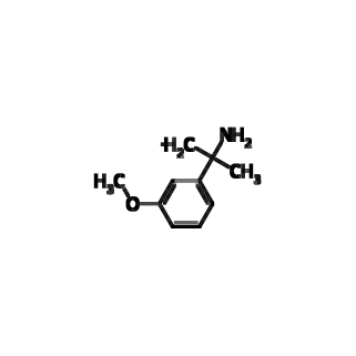 [CH2]C(C)(N)c1cccc(OC)c1